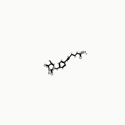 Cc1cn(Cc2ccc(C#CCCCC(N)=O)cc2)c(=O)[nH]c1=O